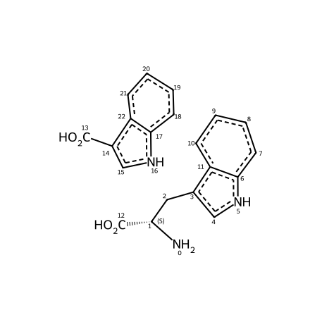 N[C@@H](Cc1c[nH]c2ccccc12)C(=O)O.O=C(O)c1c[nH]c2ccccc12